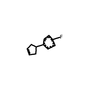 Fc1ccc(C2CC=CC2)cc1